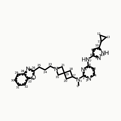 CN(c1nccc(Nc2cc(C3CC3)[nH]n2)n1)C1CC2(C1)CN(CCCc1nc3ccccc3o1)C2